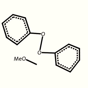 COC.c1ccc(OOc2ccccc2)cc1